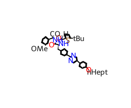 CCCCCCCOc1ccc(-c2cnc(-c3ccc(C[C@H](NC(=O)c4ccc(C(C)(C)C)s4)C(=O)NC(C(=O)O)c4cccc(OC)c4)cc3)nc2)cc1